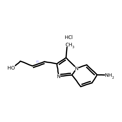 Cc1c(/C=C/CO)nc2ccc(N)cn12.Cl